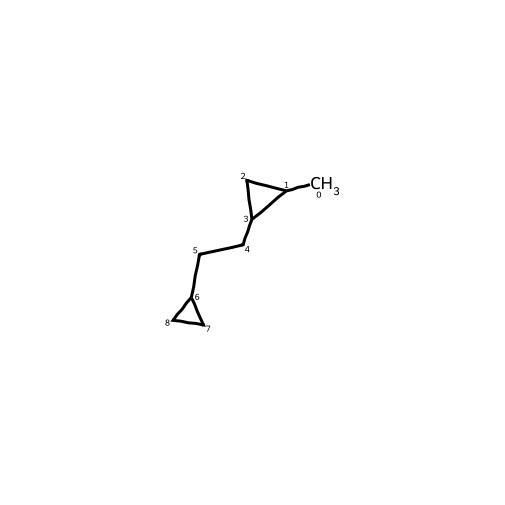 CC1CC1CCC1CC1